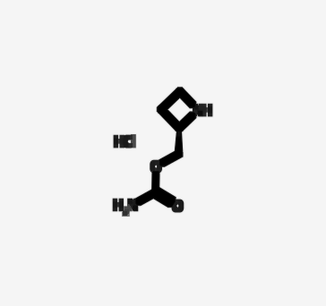 Cl.NC(=O)OC[C@H]1CCN1